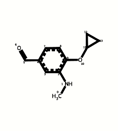 CNc1cc(C=O)ccc1OC1CC1